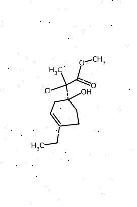 CCC1=CCC(O)(C(C)(Cl)C(=O)OC)CC1